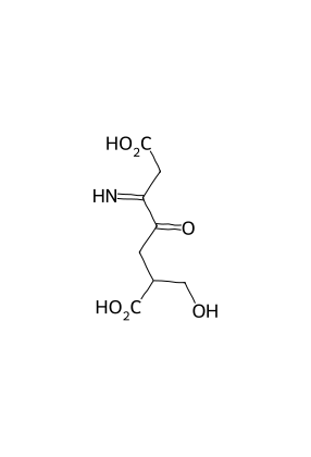 N=C(CC(=O)O)C(=O)CC(CO)C(=O)O